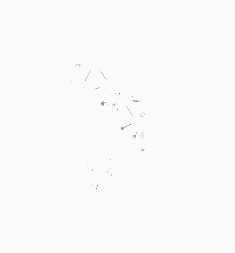 NC(N)NCCC[C@H](NC(=O)c1sccc1NS(=O)(=O)c1ccc2c(c1)CCO2)C(=O)O